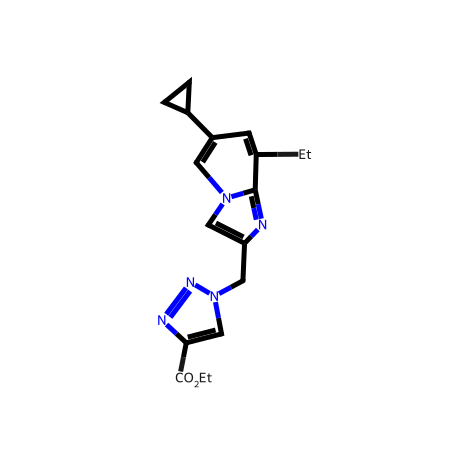 CCOC(=O)c1cn(Cc2cn3cc(C4CC4)cc(CC)c3n2)nn1